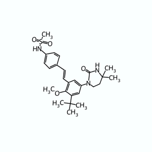 COc1c(/C=C/c2ccc(NS(C)(=O)=O)cc2)cc(N2CCC(C)(C)NC2=O)cc1C(C)(C)C